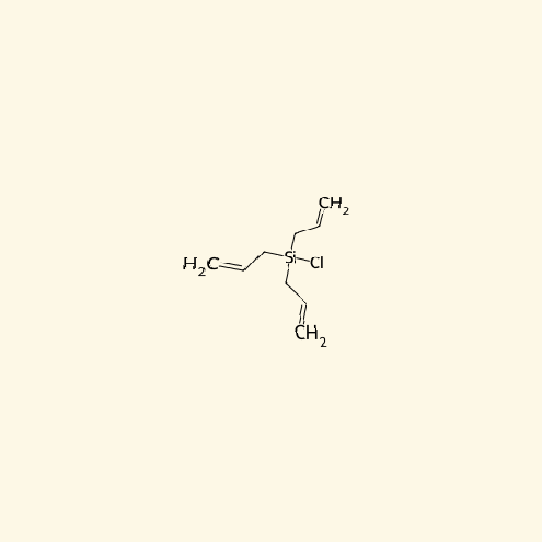 C=CC[Si](Cl)(CC=C)CC=C